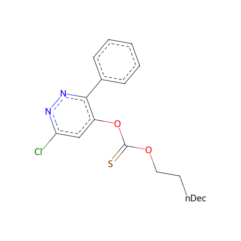 CCCCCCCCCCCCOC(=S)Oc1cc(Cl)nnc1-c1ccccc1